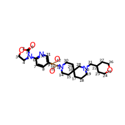 O=C1OCCN1c1ccc(S(=O)(=O)N2CCC3(CCCN(CC4CCOCC4)C3)CC2)cn1